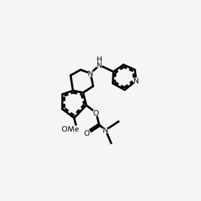 COc1ccc2c(c1OC(=O)N(C)C)CN(Nc1ccncc1)CC2